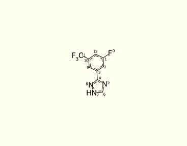 Fc1cc(-c2nc[nH]n2)cc(C(F)(F)F)c1